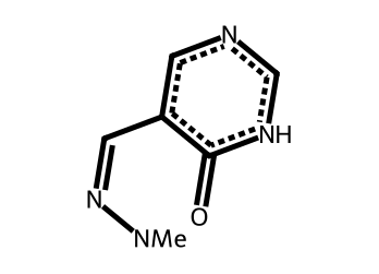 CN/N=C\c1cnc[nH]c1=O